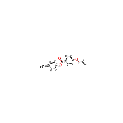 C=CCOc1ccc(C(=O)Oc2ccc(CCC)cc2)cc1